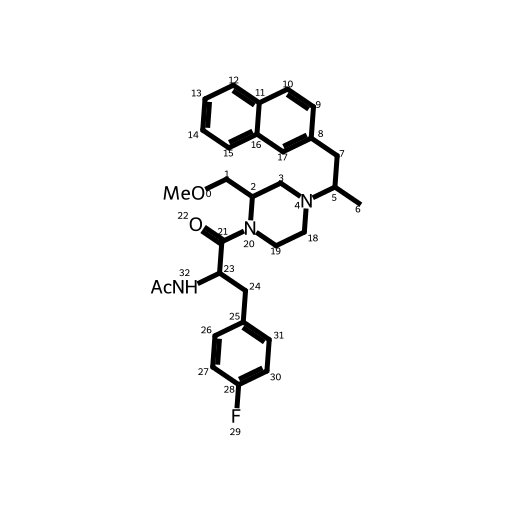 COCC1CN(C(C)Cc2ccc3ccccc3c2)CCN1C(=O)C(Cc1ccc(F)cc1)NC(C)=O